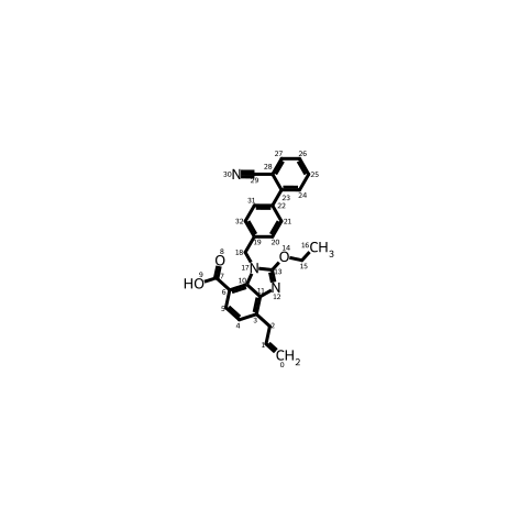 C=CCc1ccc(C(=O)O)c2c1nc(OCC)n2Cc1ccc(-c2ccccc2C#N)cc1